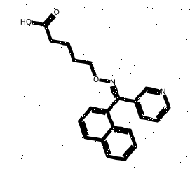 O=C(O)CCCCO/N=C(/c1cccnc1)c1cccc2ccccc12